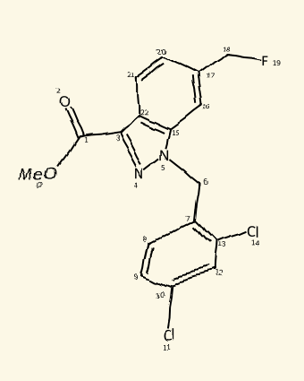 COC(=O)c1nn(Cc2ccc(Cl)cc2Cl)c2cc(CF)ccc12